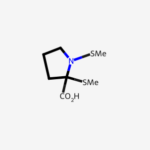 CSN1CCCC1(SC)C(=O)O